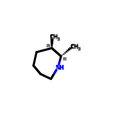 C[C@@H]1CCCCN[C@H]1C